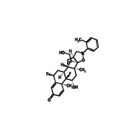 Cc1ccccc1N1C[C@@H]2C[C@H]3[C@@H]4C[C@H](F)C5=CC(=O)C=C[C@]5(C)[C@@]4(F)[C@@H](O)C[C@]3(C)[C@]2(C(=O)CO)O1